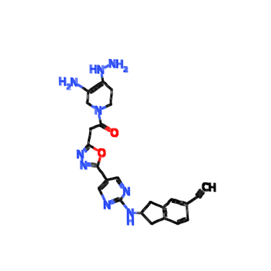 C#Cc1ccc2c(c1)CC(Nc1ncc(-c3nnc(CC(=O)N4CCC(NN)=C(N)C4)o3)cn1)C2